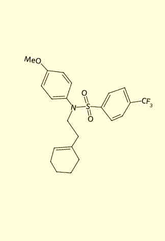 COc1ccc(N(CCC2=CCCCC2)S(=O)(=O)c2ccc(C(F)(F)F)cc2)cc1